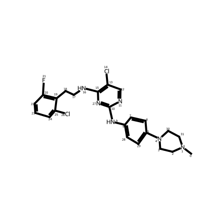 CN1CCN(c2ccc(Nc3ncc(Cl)c(NCCc4c(F)cccc4Cl)n3)cc2)CC1